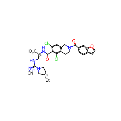 CC[C@H]1CCN(/C(=N\C#N)NC[C@H](NC(=O)c2c(Cl)cc3c(c2Cl)CCN(C(=O)c2ccc4ccoc4c2)C3)C(=O)O)C1